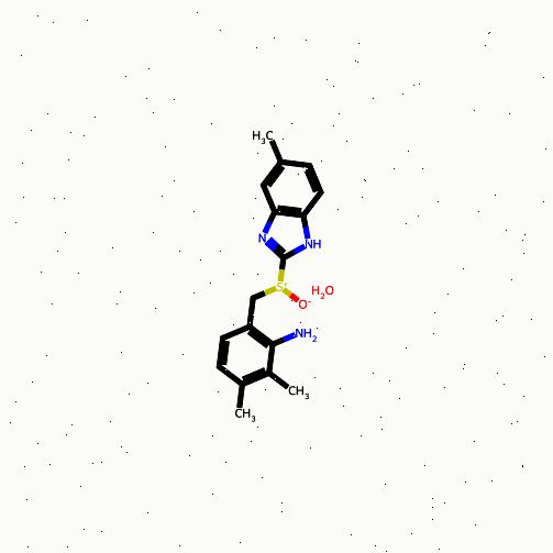 Cc1ccc2[nH]c([S+]([O-])Cc3ccc(C)c(C)c3N)nc2c1.O